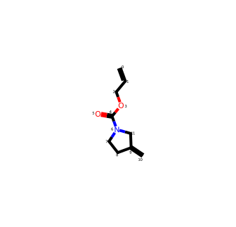 C=CCOC(=O)N1CCC(=C)C1